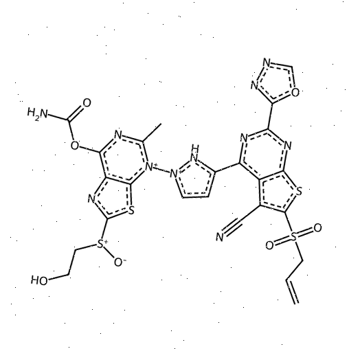 C=CCS(=O)(=O)c1sc2nc(-c3nnco3)nc(-c3cc[n+](-[n+]4c(C)nc(OC(N)=O)c5nc([S+]([O-])CCO)sc54)[nH]3)c2c1C#N